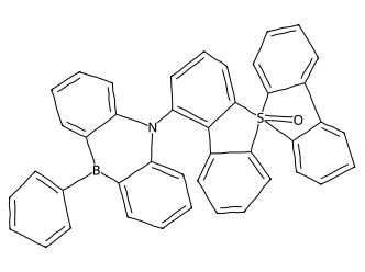 O=S12(c3ccccc3-c3ccccc31)c1ccccc1-c1c(N3c4ccccc4B(c4ccccc4)c4ccccc43)cccc12